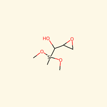 CO[Si](C)(OC)C(O)C1CO1